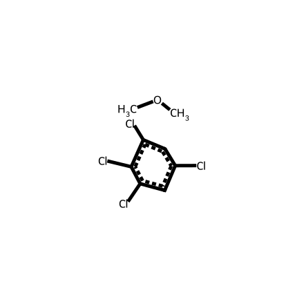 COC.Clc1cc(Cl)c(Cl)c(Cl)c1